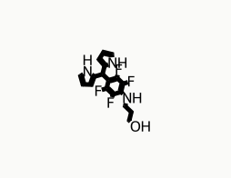 OCCCNc1c(F)c(F)c(C(c2ccc[nH]2)c2ccc[nH]2)c(F)c1F